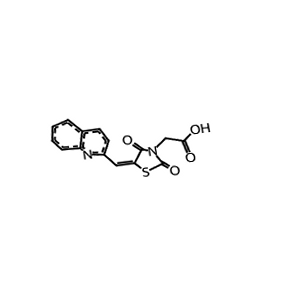 O=C(O)CN1C(=O)S/C(=C/c2ccc3ccccc3n2)C1=O